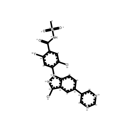 CS(=O)(=O)NC(=O)c1cc(Cl)c(-n2nc(Cl)c3cc(-c4cncnc4)ccc32)cc1F